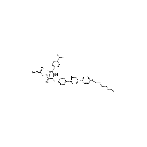 CCCCCCCOc1ccc(-c2cnc(-c3ccc(CC(NC(=O)c4ccc(C(C)C)cc4)C(=O)NCC(=O)O)cc3)nc2)cc1